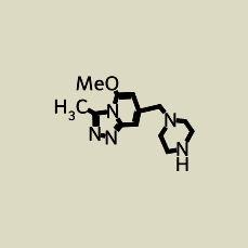 COc1cc(CN2CCNCC2)cc2nnc(C)n12